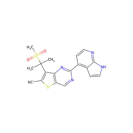 CC(C)(c1c(C#N)sc2cnc(-c3ccnc4[nH]ccc34)nc12)S(C)(=O)=O